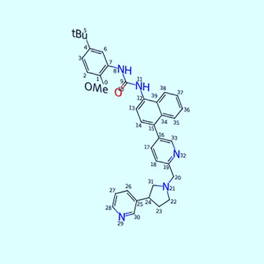 COc1ccc(C(C)(C)C)cc1NC(=O)Nc1ccc(-c2ccc(CN3CCC(c4cccnc4)C3)nc2)c2ccccc12